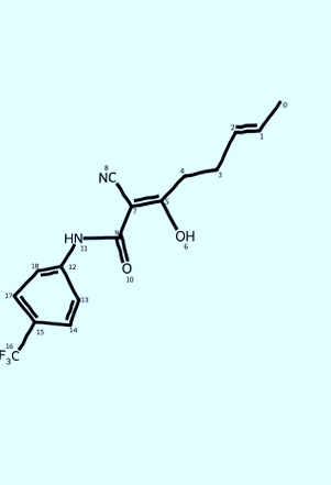 C/C=C/CC/C(O)=C(\C#N)C(=O)Nc1ccc(C(F)(F)F)cc1